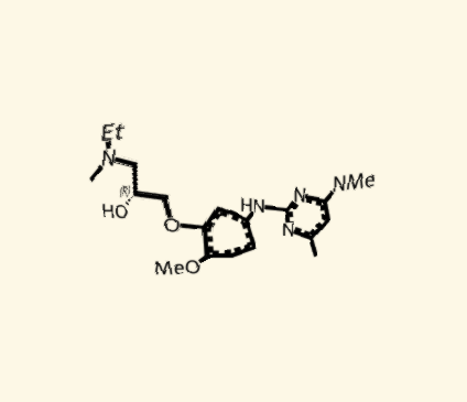 CCN(C)C[C@@H](O)COc1cc(Nc2nc(C)cc(NC)n2)ccc1OC